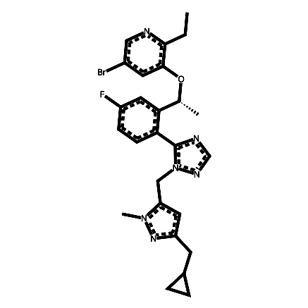 CCc1ncc(Br)cc1O[C@H](C)c1cc(F)ccc1-c1ncnn1Cc1cc(CC2CC2)nn1C